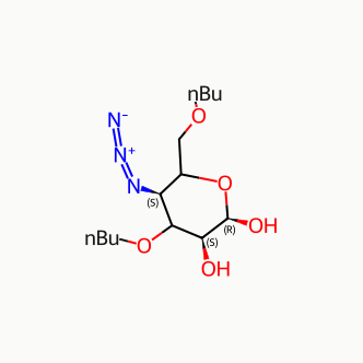 CCCCOCC1O[C@@H](O)[C@@H](O)C(OCCCC)[C@H]1N=[N+]=[N-]